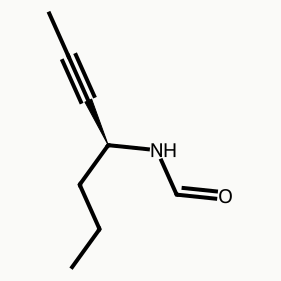 CC#C[C@H](CCC)NC=O